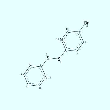 Brc1ccc(SSc2ccccn2)nc1